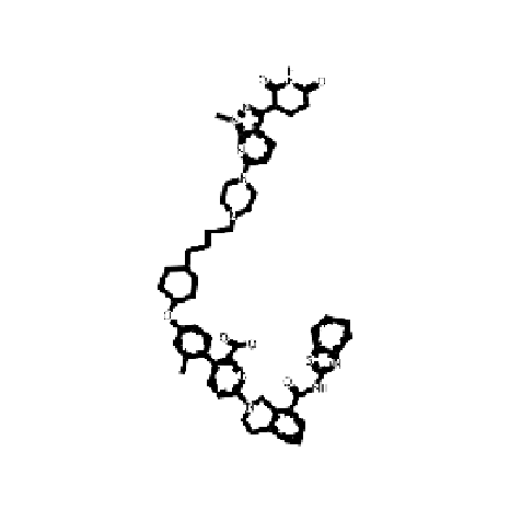 Cc1cc(OC2CCC(CCCCN3CCN(c4ccc5c(C6CCC(=O)NC6=O)nn(C)c5n4)CC3)CC2)ccc1-c1ccc(N2CCc3cccc(C(=O)Nc4nc5ccccc5s4)c3C2)nc1C(=O)O